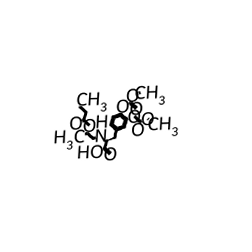 CCCC(=O)OC(C)CN[C@@H](Cc1ccc(OC(=O)OC)c(OC(=O)OC)c1)C(=O)O